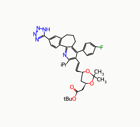 CC(C)c1nc2c(c(-c3ccc(F)cc3)c1/C=C/[C@@H]1C[C@H](CC(=O)OC(C)(C)C)OC(C)(C)O1)CCCc1cc(-c3nnn[nH]3)ccc1-2